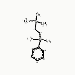 C[Si](C)(C)CC[Si](C)(C)c1ccccc1